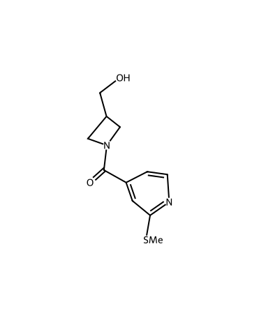 CSc1cc(C(=O)N2CC(CO)C2)ccn1